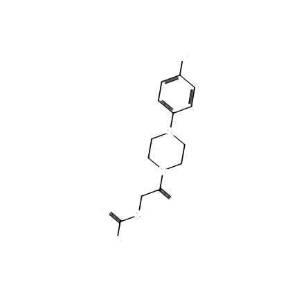 O=C(O)NCC(=O)N1CCN(c2ccc(O)cc2)CC1